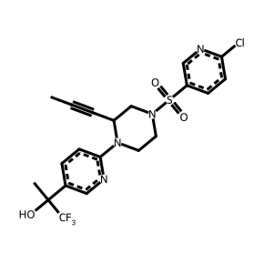 CC#CC1CN(S(=O)(=O)c2ccc(Cl)nc2)CCN1c1ccc(C(C)(O)C(F)(F)F)cn1